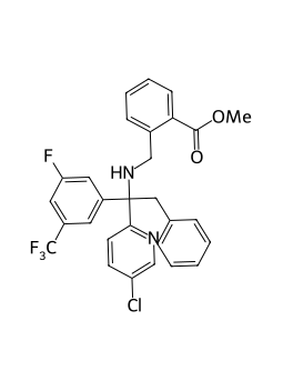 COC(=O)c1ccccc1CNC(Cc1ccccc1)(c1cc(F)cc(C(F)(F)F)c1)c1ccc(Cl)cn1